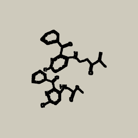 C=C(C)C(=O)CCNc1ccc(Cl)nc1C(=O)c1ccccc1.COC(=O)Nc1ccc(Cl)nc1C(=O)c1ccccc1